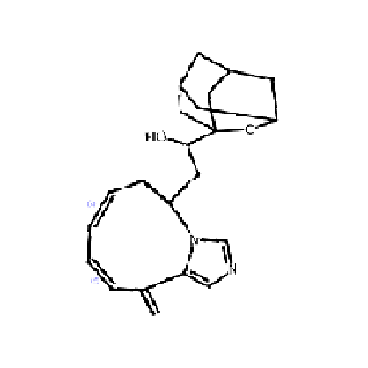 C=C1/C=C\C=C/CC(CC(O)C23CC4CC(CC(C4)C2)C3)n2cncc21